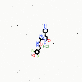 COc1c(F)cc(Cc2nnc(-c3cnn4c(C5CCNCC5)cc(=O)[nH]c34)o2)cc1F.Cl